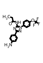 CCC(=O)Nc1nc(-c2ccc(N)cc2)nn1-c1ccc(OC(F)(F)F)cc1